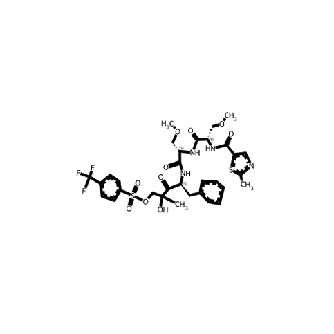 COC[C@H](NC(=O)c1cnc(C)s1)C(=O)N[C@@H](COC)C(=O)N[C@@H](Cc1ccccc1)C(=O)C(C)(O)COS(=O)(=O)c1ccc(C(F)(F)F)cc1